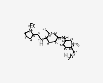 CCN1CCCC1CNC1CCC(NC2CCC(CN)N(C)C2)CN1C